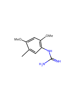 COc1cc(OC)c(NC(=N)N)cc1C